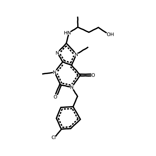 CC(CCO)Nc1nc2c(c(=O)n(Cc3ccc(Cl)cc3)c(=O)n2C)n1C